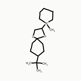 CC(C)(C)C1CCC2(CC1)OCC([N+]1(C)CCCCC1)O2